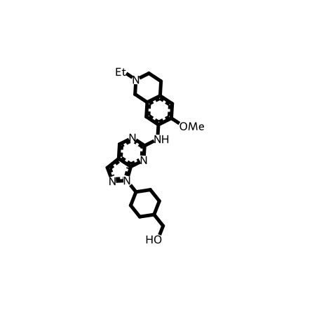 CCN1CCc2cc(OC)c(Nc3ncc4cnn(C5CCC(CO)CC5)c4n3)cc2C1